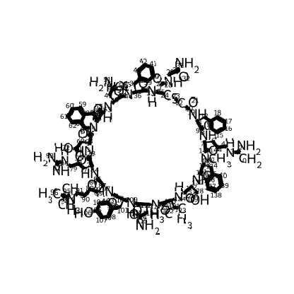 C=C(N)NCCC[C@@H]1NC(=O)[C@H](Cc2ccccc2)NC(=O)CSC[C@@H](C(=O)NCC(N)=O)NC(=O)[C@H](Cc2ccccc2)N(C)C(=O)[C@H](CC(N)=O)NC(=O)[C@@H]2Cc3ccccc3CN2C(=O)[C@H](CC(=O)O)NC(=O)[C@H](CCCNC(=N)N)NC(=O)[C@H](CCCCNC(C)(C)C)NC(=O)[C@H](Cc2ccc(O)cc2)NC(=O)[C@H](CC(N)=O)NC(=O)[C@H](C(C)C)NC(=O)[C@H](CO)NC(=O)[C@H](Cc2ccccc2)N(C)C1=O